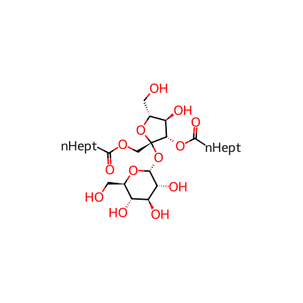 CCCCCCCC(=O)OC[C@@]1(O[C@H]2O[C@H](CO)[C@@H](O)[C@H](O)[C@H]2O)O[C@H](CO)[C@@H](O)[C@@H]1OC(=O)CCCCCCC